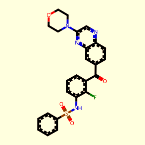 O=C(c1ccc2ncc(N3CCOCC3)nc2c1)c1cccc(NS(=O)(=O)c2ccccc2)c1F